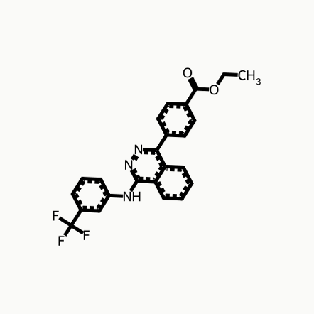 CCOC(=O)c1ccc(-c2nnc(Nc3cccc(C(F)(F)F)c3)c3ccccc23)cc1